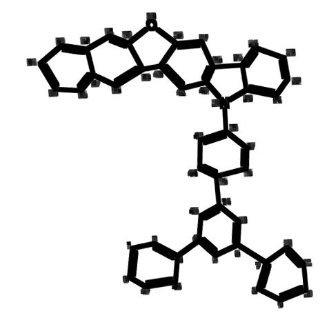 c1ccc(-c2cc(-c3ccccc3)cc(-c3ccc(-n4c5ccccc5c5cc6oc7cc8ccccc8cc7c6cc54)cc3)c2)cc1